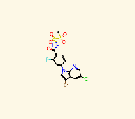 CS(=O)(=O)S(=O)(=O)NC(=O)c1ccc(-n2cc(Br)c3cc(Cl)cnc32)cc1F